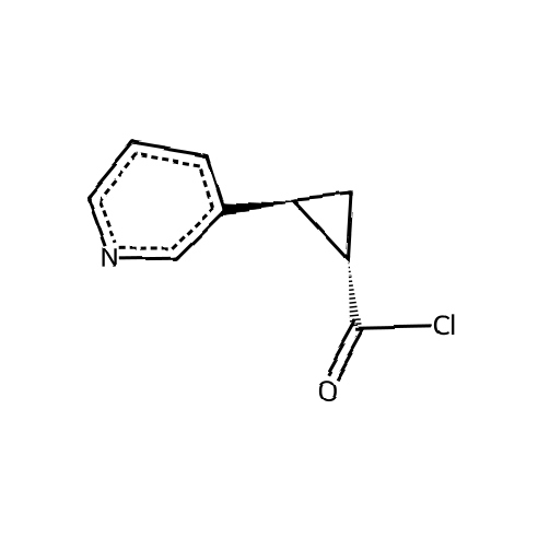 O=C(Cl)[C@H]1C[C@@H]1c1cccnc1